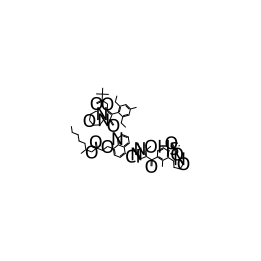 CCCCCC(C)OC(=O)COc1ccc(Cl)c2cccnc12.CCc1cc(C)cc(CC)c1-c1c(OC(=O)C(C)(C)C)n2n(c1=O)CCOCC2.Cc1c(C(=O)c2cnn(C)c2O)ccc(S(C)(=O)=O)c1C1=NOCC1